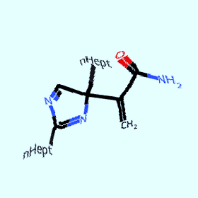 C=C(C(N)=O)C1(CCCCCCC)C=NC(CCCCCCC)=N1